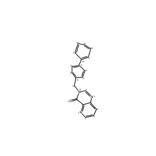 O=c1c2ncccc2ncn1Cc1ccc(-c2ccccc2)cc1